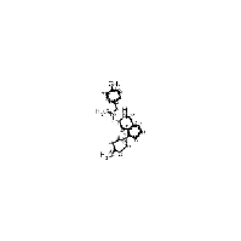 Cc1ccc(CN(C)C[C@H]2Cc3c(cccc3N3CCC(C)CC3)CN2)nc1